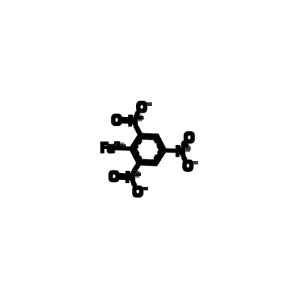 Cc1c([N+](=O)[O-])cc([N+](=O)[O-])cc1[N+](=O)[O-].[Fe+2]